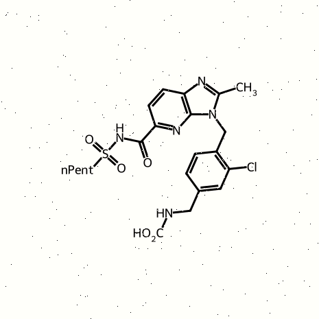 CCCCCS(=O)(=O)NC(=O)c1ccc2nc(C)n(Cc3ccc(CNC(=O)O)cc3Cl)c2n1